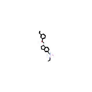 C=Cc1cccc(C(=O)C[C@@H]2CCc3cc(-c4noc(CC)n4)ccc32)c1